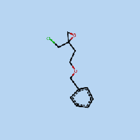 ClCC1(CCOCc2ccccc2)CO1